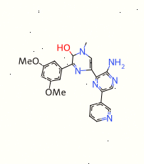 COc1cc(OC)cc(C2=NC(c3nc(-c4cccnc4)cnc3N)=CN(C)C2O)c1